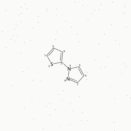 [c]1csc(-n2cccn2)c1